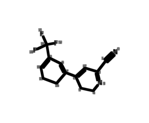 N#CC1=NCCC(C2=CC(C(F)(F)F)=CCC2)=C1